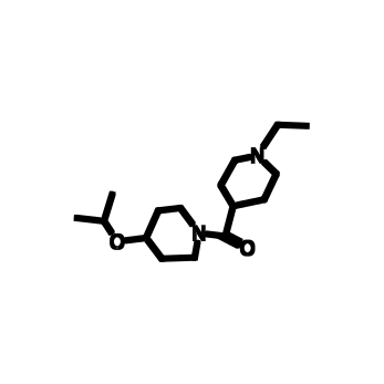 CCN1CCC(C(=O)N2CCC(OC(C)C)CC2)CC1